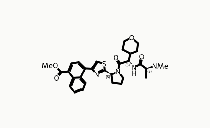 CN[C@@H](C)C(=O)N[C@H](C(=O)N1CCC[C@H]1c1nc(-c2ccc(C(=O)OC)c3ccccc23)cs1)C1CCOCC1